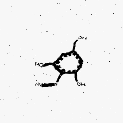 N=Nc1c(O)cc(O)cc1O